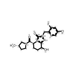 C[C@H]1CCN(C(=O)[C@@H]2CCC(O)c3nn(Cc4ncc(Cl)cc4F)c(=O)n32)C1